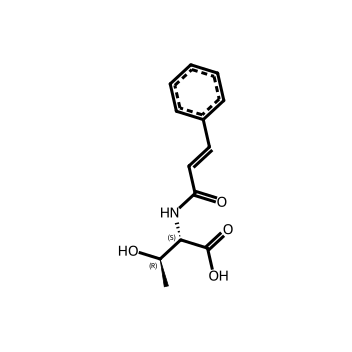 C[C@@H](O)[C@H](NC(=O)C=Cc1ccccc1)C(=O)O